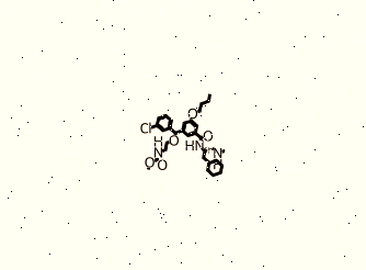 CCCCOc1cc(C(=O)N[C@H](CNC)CC2CCCCC2)cc(C(OCCNC(=O)OC)c2cccc(Cl)c2)c1